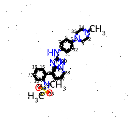 CN1CCN(c2ccc(Nc3nc4c(-c5ccccc5N(C)S(C)(=O)=O)cccn4n3)cc2)CC1